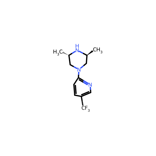 C[C@H]1CN(c2ccc(C(F)(F)F)cn2)C[C@H](C)N1